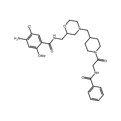 COc1cc(N)c(Cl)cc1C(=O)NCC1CN(CC2CCN(C(=O)CNC(=O)c3ccccc3)CC2)CCO1